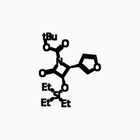 CC[Si](CC)(CC)O[C@H]1C(=O)N(C(=O)OC(C)(C)C)[C@H]1c1ccoc1